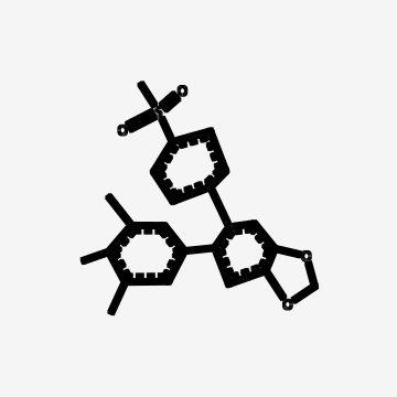 Cc1cc(-c2cc3c(cc2-c2ccc(S(C)(=O)=O)cc2)OCO3)cc(C)c1C